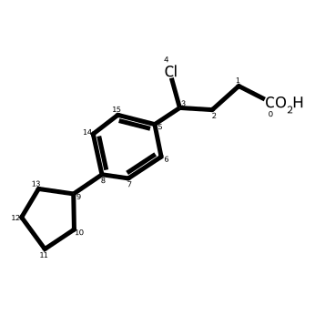 O=C(O)CCC(Cl)c1ccc(C2CCCC2)cc1